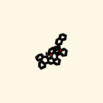 c1ccc(-c2cc3cccc(-c4c5ccccc5c(-c5ccc6ccccc6c5)c5ccccc45)c3c3c2c(-c2ccccc2)nn3-c2ccccc2)cc1